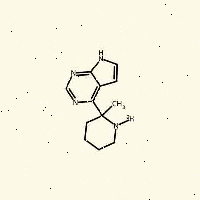 [2H]N1CCCCC1(C)c1ncnc2[nH]ccc12